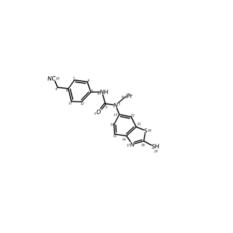 CC(C)N(C(=O)Nc1ccc(CC#N)cc1)c1ccc2nc(S)sc2c1